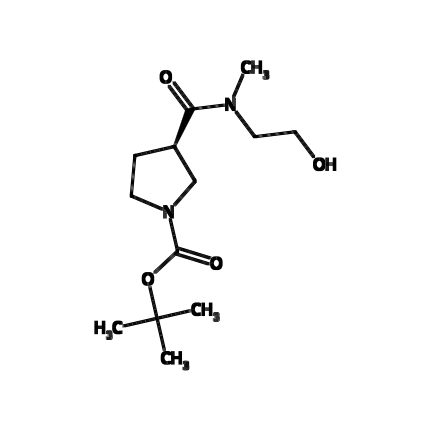 CN(CCO)C(=O)[C@@H]1CCN(C(=O)OC(C)(C)C)C1